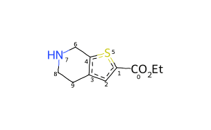 CCOC(=O)c1cc2c(s1)CNCC2